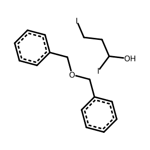 OC(I)CCI.c1ccc(COCc2ccccc2)cc1